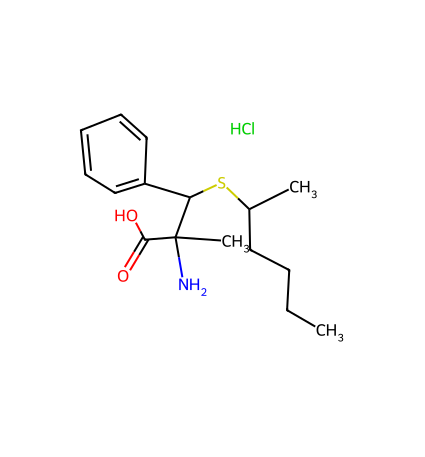 CCCCC(C)SC(c1ccccc1)C(C)(N)C(=O)O.Cl